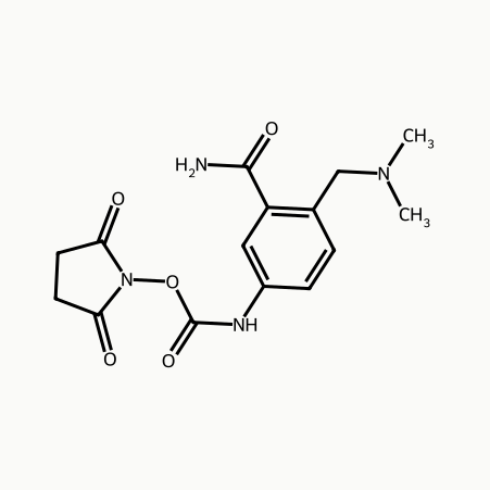 CN(C)Cc1ccc(NC(=O)ON2C(=O)CCC2=O)cc1C(N)=O